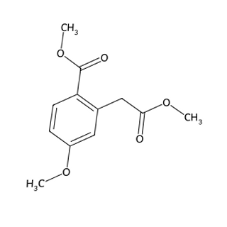 COC(=O)Cc1cc(OC)ccc1C(=O)OC